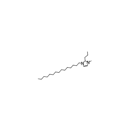 CCCCCCCCCCCCCCCN1C=CN(C)C1CCC